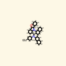 CC(C)(C)c1ccc(N2B3c4c(cc5ccccc5c4-n4c5c3cccc5c3oc5ccccc5c34)-c3cc4ccccc4cc32)cc1